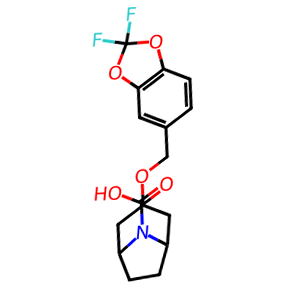 O=C(O)N1C2CCC1CC(OCc1ccc3c(c1)OC(F)(F)O3)C2